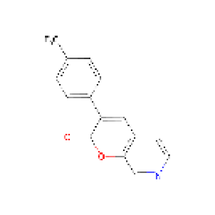 O=c1oc2cnccc2cc1-c1ccc(C(F)(F)F)cc1